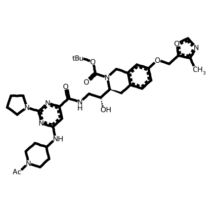 CC(=O)N1CCC(Nc2cc(C(=O)NC[C@@H](O)[C@@H]3Cc4ccc(OCc5ocnc5C)cc4CN3C(=O)OC(C)(C)C)nc(N3CCCC3)n2)CC1